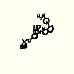 CC(CO)(CO)COc1ccc2c(c1)nc(O)n2-c1ccc2cccc(N3CCC(N)CC3)c2n1